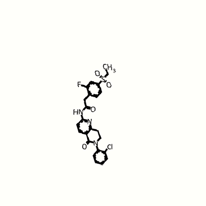 CCS(=O)(=O)c1ccc(CC(=O)Nc2ccc3c(n2)CCN(c2ccccc2Cl)C3=O)c(F)c1